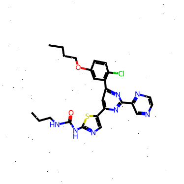 CCCCOc1ccc(Cl)c(-c2cc(-c3cnc(NC(=O)NCCC)s3)nc(-c3cnccn3)n2)c1